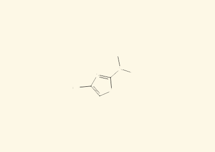 CCCCc1coc(N(C)C(=O)O)n1